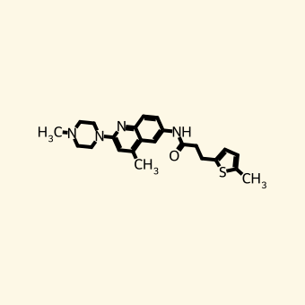 Cc1ccc(CCC(=O)Nc2ccc3nc(N4CCN(C)CC4)cc(C)c3c2)s1